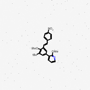 COc1ncccc1-c1cc(C=Cc2ccc([N+](=O)[O-])cc2)c(OC)c(C(C)(C)C)c1